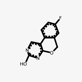 Oc1ncc2c(n1)OCc1cc(F)ccc1-2